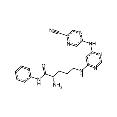 N#Cc1cnc(Nc2cc(NCCC[C@H](N)C(=O)Nc3ccccc3)ncn2)cn1